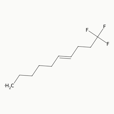 [CH2]CCCCC=CCCC(F)(F)F